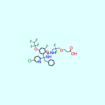 O=C(O)CCOCC(F)(F)CNC(=O)NC(Cc1ccccc1)(c1cc(F)cc(OC(F)(F)C(F)F)c1)c1ccc(Cl)cn1